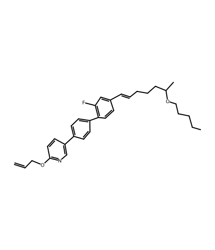 C=CCOc1ccc(-c2ccc(-c3ccc(C=CCCCC(C)OCCCCC)cc3F)cc2)cn1